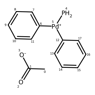 CC(=O)[O-].[PH2][Pd+]([c]1ccccc1)[c]1ccccc1